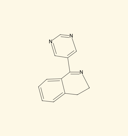 c1ccc2c(c1)CCN=C2c1cncnc1